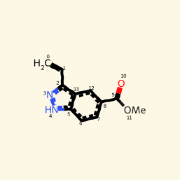 C=Cc1n[nH]c2ccc(C(=O)OC)cc12